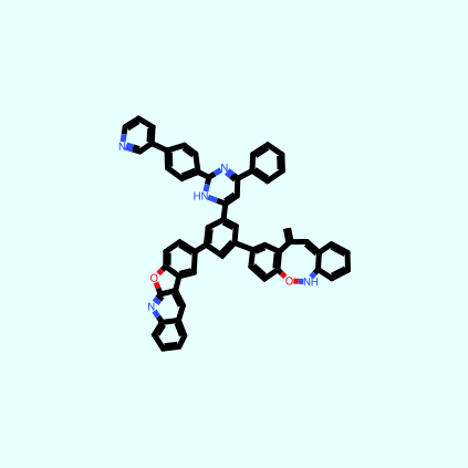 C=C1/C=C2/C=CC=CC2NOc2ccc(-c3cc(C4=CC(c5ccccc5)=NC(c5ccc(-c6cccnc6)cc5)N4)cc(-c4ccc5oc6nc7ccccc7cc6c5c4)c3)cc21